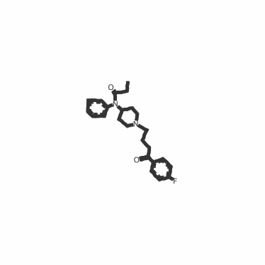 CCC(=O)N(c1ccccc1)C1CCN(CCCC(=O)c2ccc(F)cc2)CC1